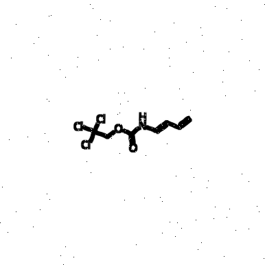 C=CC=CNC(=O)OCC(Cl)(Cl)Cl